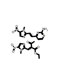 CCOC(=O)/C(=C/c1ncc([N+](=O)[O-])n1C)C(C)=O.Cn1c([N+](=O)[O-])cnc1/C=C/c1ccnc(N)n1